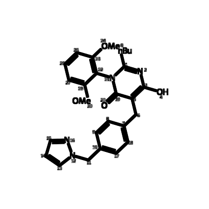 CCCCc1nc(O)c(Cc2ccc(Cn3cccn3)cc2)c(=O)n1-c1c(OC)cccc1OC